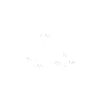 COc1cc(C(=O)c2cc(-c3csc(NC=O)n3)ccc2NC(C)=O)cc(OC)c1OC